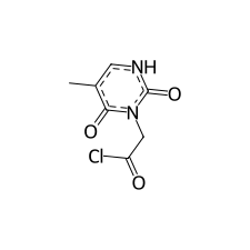 Cc1c[nH]c(=O)n(CC(=O)Cl)c1=O